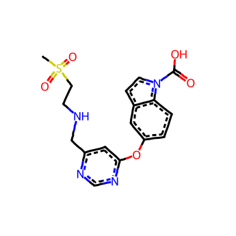 CS(=O)(=O)CCNCc1cc(Oc2ccc3c(ccn3C(=O)O)c2)ncn1